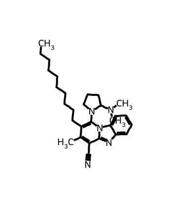 CCCCCCCCCCc1c(C)c(C#N)c2nc3ccccc3n2c1N1CCCC1N(C)C